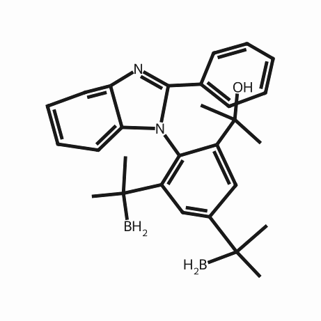 BC(C)(C)c1cc(C(B)(C)C)c(-n2c(-c3ccccc3)nc3ccccc32)c(C(C)(C)O)c1